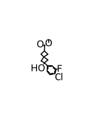 COC(=O)C1CC2(C1)CC(O)(c1ccc(Cl)c(F)c1)C2